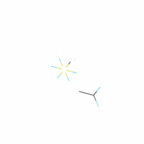 CC(F)F.FC(F)(F)S(F)(F)(F)(F)F